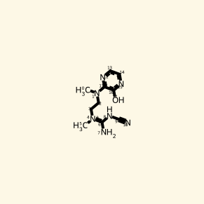 CN(CC[N+](C)=C(N)NC#N)c1nccnc1O